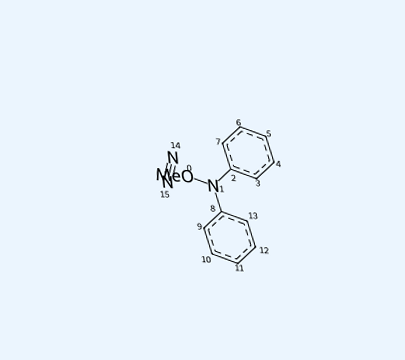 CON(c1ccccc1)c1ccccc1.N#N